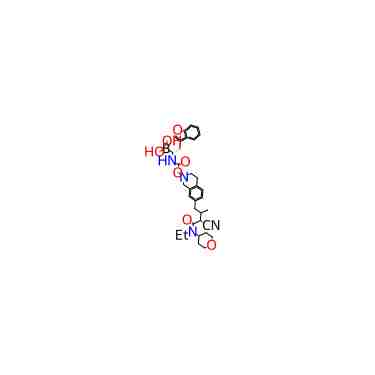 CCN(C(=O)C(C#N)C(C)Cc1ccc2c(c1)CN(OC(=O)N[C@@H](Cc1coc3ccccc13)B(O)O)CC2)C1CCOCC1